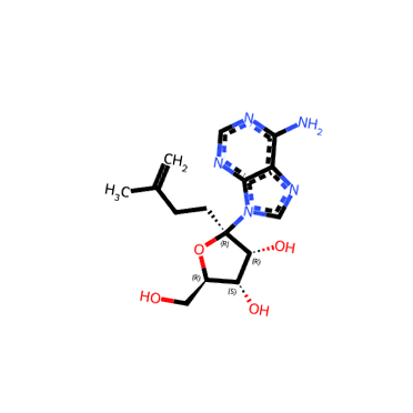 C=C(C)CC[C@@]1(n2cnc3c(N)ncnc32)O[C@H](CO)[C@@H](O)[C@H]1O